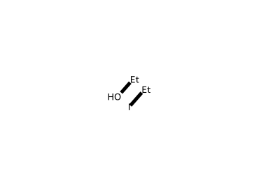 CCI.CCO